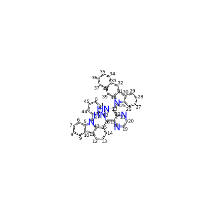 c1ccc(-n2c3ccccc3c3cccc(C4=c5nccnc5=C(n5c6ccccc6c6cc7ccccc7cc65)NN4)c32)cc1